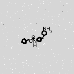 NC1CCC(=Cc2ccc(NC(=O)OCc3ccccc3)cc2)CC1